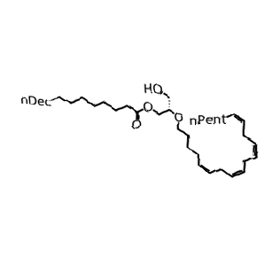 CCCCC/C=C\C/C=C\C/C=C\C/C=C\CCCCO[C@@H](CO)COC(=O)CCCCCCCCCCCCCCCCC